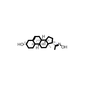 C/C(=N\O)[C@H]1CC[C@H]2[C@@H]3CC=C4C[C@@H](O)CC[C@]4(C)[C@H]3CC[C@]12C